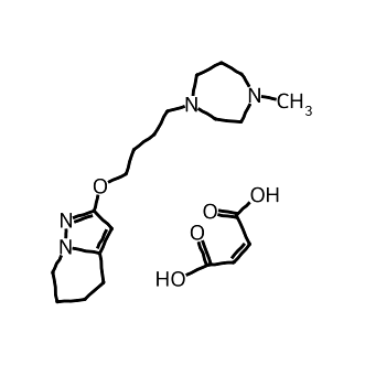 CN1CCCN(CCCCOc2cc3n(n2)CCCC3)CC1.O=C(O)/C=C\C(=O)O